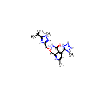 C=C(C)c1nc(COCc2nc(C(F)(F)F)cc(-c3nnnn3C)c2C(N)=O)nn1C